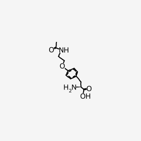 CC(=O)NCCOc1ccc(C[C@H](N)C(=O)O)cc1